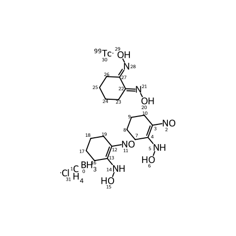 B.C.O=NC1=C(NO)CCCC1.O=NC1=C(NO)CCCC1.ON=C1CCCCC1=NO.[99Tc].[Cl]